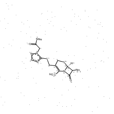 CNC(=O)Cn1nnnc1SCC1=C(C(=O)O)N2C(=O)C(N)[C@@H]2SC1